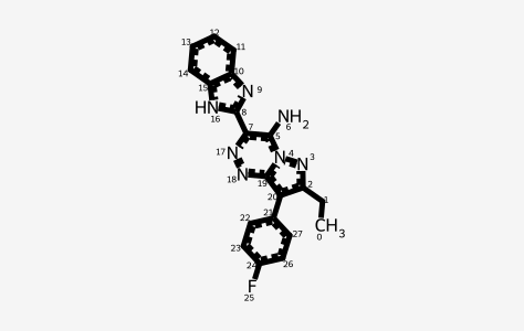 CCc1nn2c(N)c(-c3nc4ccccc4[nH]3)nnc2c1-c1ccc(F)cc1